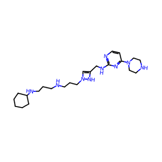 c1cc(N2CCNCC2)nc(NCc2cn(CCCNCCCNC3CCCCC3)[nH]2)n1